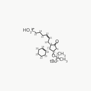 CC(C)(C)[Si](C)(C)O[C@@H]1CC(=O)[C@H](C/C=C\CCCC(=O)O)[C@H]1C1=CCCCC1